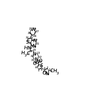 Cc1cc(-c2ccc(S(=O)(=O)N3CCN(CC(C)Nc4ncnc5c(-c6ccncc6)csc45)CC3)s2)on1